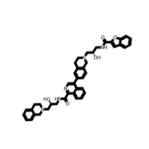 O=C(NC[C@H](O)CN1CCc2cc(-c3cnc(C(=O)NC[C@H](O)CN4CCc5ccccc5C4)c4ccccc34)ccc2C1)c1cc2ccccc2o1